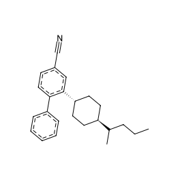 CCCC(C)[C@H]1CC[C@H](c2cc(C#N)ccc2-c2ccccc2)CC1